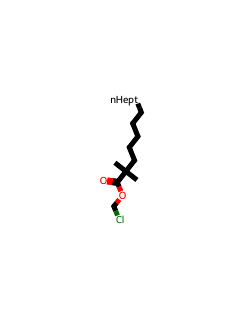 CCCCCCCCCCCCC(C)(C)C(=O)OCCl